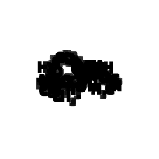 Cc1ncsc1-c1ccc([C@H](CO)NC(=O)[C@@H]2C[C@@H](O)CN2C(=O)[C@@H](NC(=O)CC2CCC(O[C@H]3C[C@H](NC(=O)C[C@@H]4N=C(c5ccc(Cl)cc5)c5c(sc(C)c5C)-n5c(C)nnc54)C3)CC2)C(C)(C)C)cc1